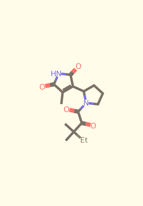 CCC(C)(C)C(=O)C(=O)N1CCCC1C1=C(C)C(=O)NC1=O